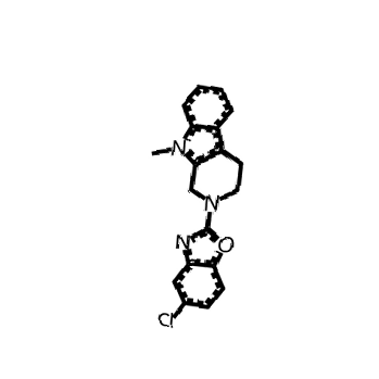 Cn1c2c(c3ccccc31)CCN(c1nc3cc(Cl)ccc3o1)C2